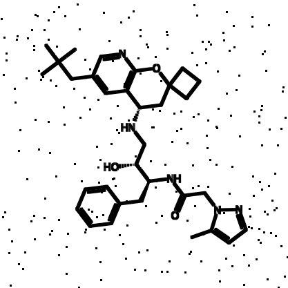 Cc1ccnn1CC(=O)N[C@@H](Cc1ccccc1)[C@H](O)CN[C@H]1CC2(CCC2)Oc2ncc(CC(C)(C)C)cc21